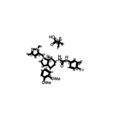 COc1ccc([C@@]23CC[C@@H](NC(=O)Nc4ccc(F)c(F)c4)C[C@@H]2N(Cc2cc(C)nn2C)CC3)cc1OC.O=C(O)C(F)(F)F